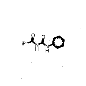 CC(C)C(=O)NC(=O)Nc1c[c]ccc1